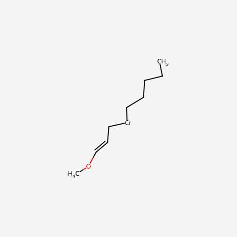 CCCC[CH2][Cr][CH2]C=COC